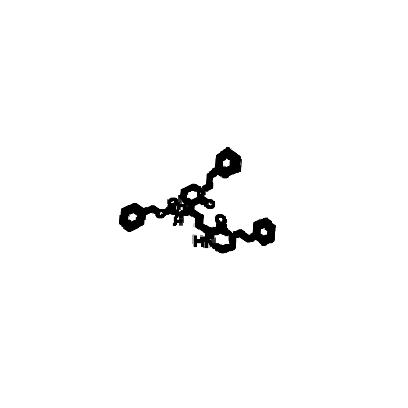 O=C(NC(CCC1NCCN(CCc2ccccc2)C1=O)C1NCCN(CCc2ccccc2)C1=O)OCc1ccccc1